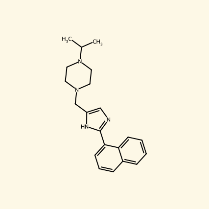 CC(C)N1CCN(Cc2cnc(-c3cccc4ccccc34)[nH]2)CC1